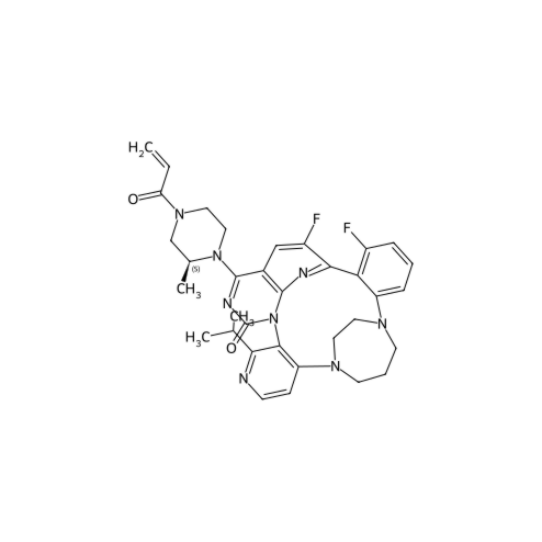 C=CC(=O)N1CCN(c2nc(=O)n3c4nc(c(F)cc24)-c2c(F)cccc2N2CCCN(CC2)c2ccnc(C(C)C)c2-3)[C@@H](C)C1